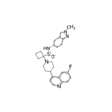 Cn1cc2cc(N[S+]([O-])C3(N4CCC(c5ccnc6ccc(F)cc56)CC4)CCC3)ccc2n1